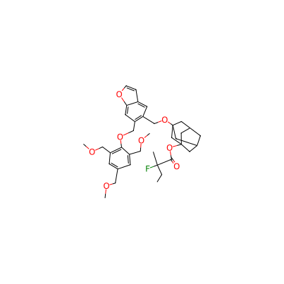 CCC(C)(F)C(=O)OC12CC3CC(CC(OCc4cc5ccoc5cc4COc4c(COC)cc(COC)cc4COC)(C3)C1)C2